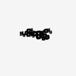 CCN(C(=O)CC1CCCC1=O)[C@H]1CCC2(CCN(CCC(C)(C)C)CC2)C2C=CC=CC21